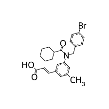 Cc1cc(C=CC(=O)O)cc(N(Cc2ccc(Br)cc2)C(=O)C2CCCCC2)c1